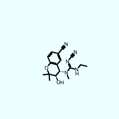 CCNC(=NC#N)N(C)[C@H]1c2cc(C#N)ccc2OC(C)(C)[C@@H]1O